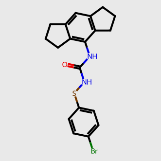 O=C(NSc1ccc(Br)cc1)Nc1c2c(cc3c1CCC3)CCC2